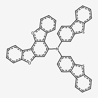 c1ccc2c(c1)oc1c2c(N(c2ccc3c(c2)sc2ccccc23)c2ccc3c(c2)sc2ccccc23)cc2oc3ccccc3c21